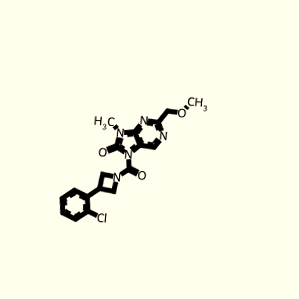 COCc1ncc2c(n1)n(C)c(=O)n2C(=O)N1CC(c2ccccc2Cl)C1